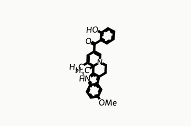 COc1ccc2[nH]c3c(c2c1)CCN1C=C(C(=O)c2ccccc2O)C=C(C)C31C